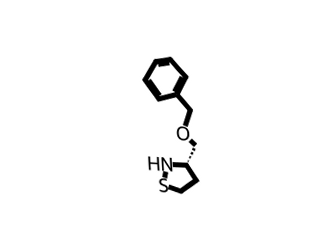 c1ccc(COC[C@@H]2CCSN2)cc1